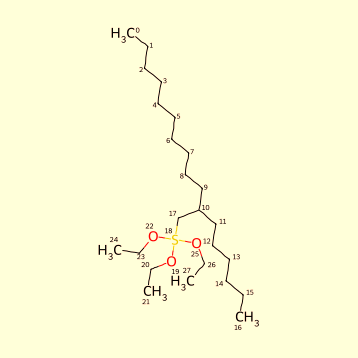 CCCCCCCCCCC(CCCCCC)CS(OCC)(OCC)OCC